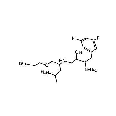 CC(=O)NC(Cc1cc(F)cc(F)c1)C(O)CNC(COCCC(C)(C)C)CC(C)N